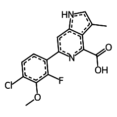 COc1c(Cl)ccc(-c2cc3[nH]cc(C)c3c(C(=O)O)n2)c1F